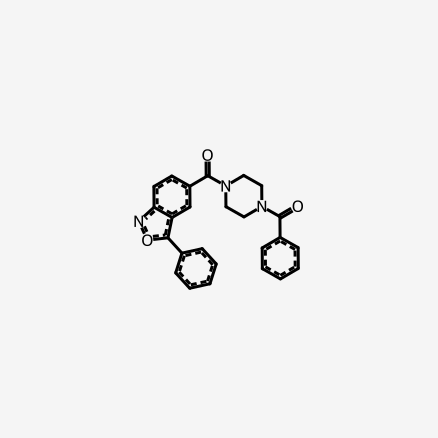 O=C(c1ccccc1)N1CCN(C(=O)c2ccc3noc(-c4ccccc4)c3c2)CC1